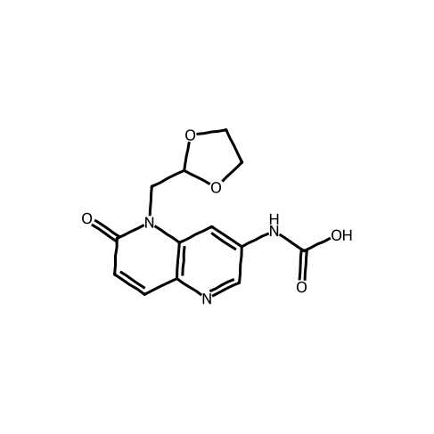 O=C(O)Nc1cnc2ccc(=O)n(CC3OCCO3)c2c1